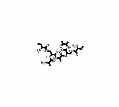 CCC(N)C(=O)NCC(NC(=O)C(C)N)C(=O)NC(C)C(=O)NC(CNC(=O)C(N)CC)C(=O)NC(C)C(C)=O